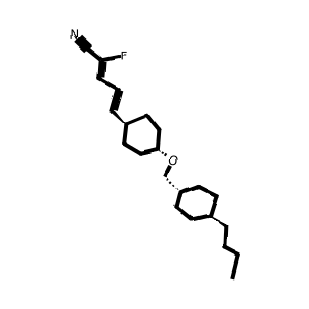 CCCC[C@H]1CC[C@H](CO[C@H]2CC[C@H](C=CC=C(F)C#N)CC2)CC1